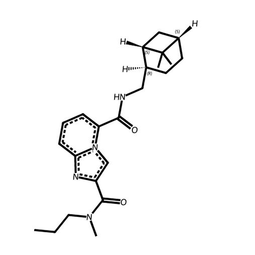 CCCN(C)C(=O)c1cn2c(C(=O)NC[C@@H]3CC[C@H]4C[C@@H]3C4(C)C)cccc2n1